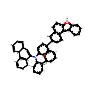 C1=CC2C=C(N(c3ccc(-c4ccc5c(ccc6oc7ccccc7c65)c4)cc3)c3ccccc3-c3ccccc3)C3=C(C=CCC3)C2C=C1